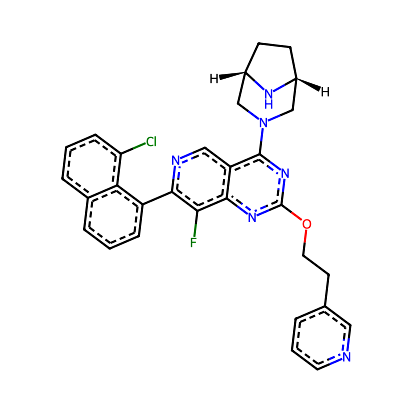 Fc1c(-c2cccc3cccc(Cl)c23)ncc2c(N3C[C@H]4CC[C@@H](C3)N4)nc(OCCc3cccnc3)nc12